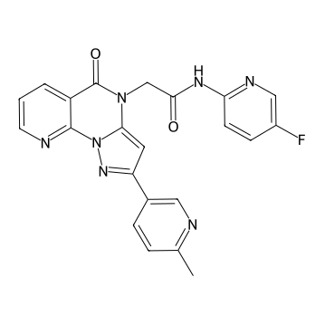 Cc1ccc(-c2cc3n(CC(=O)Nc4ccc(F)cn4)c(=O)c4cccnc4n3n2)cn1